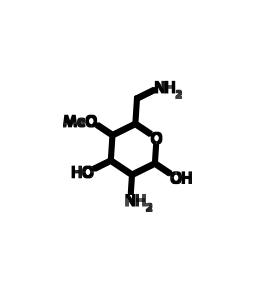 COC1C(CN)OC(O)C(N)C1O